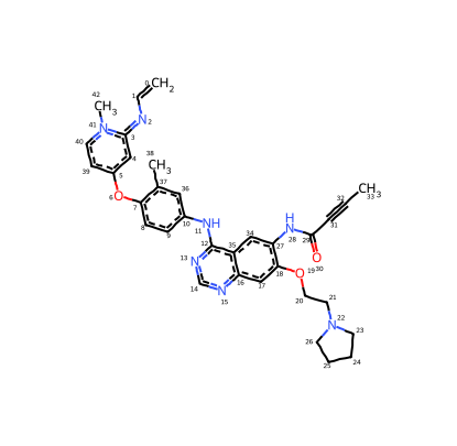 C=C/N=c1/cc(Oc2ccc(Nc3ncnc4cc(OCCN5CCCC5)c(NC(=O)C#CC)cc34)cc2C)ccn1C